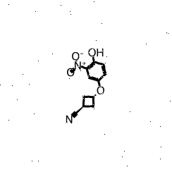 N#C[C@H]1C[C@H](Oc2ccc(O)c([N+](=O)[O-])c2)C1